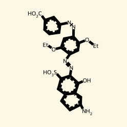 CCOc1cc(/N=N/c2c(S(=O)(=O)O)cc3ccc(N)cc3c2O)c(OCC)cc1/N=N\c1cccc(C(=O)O)c1